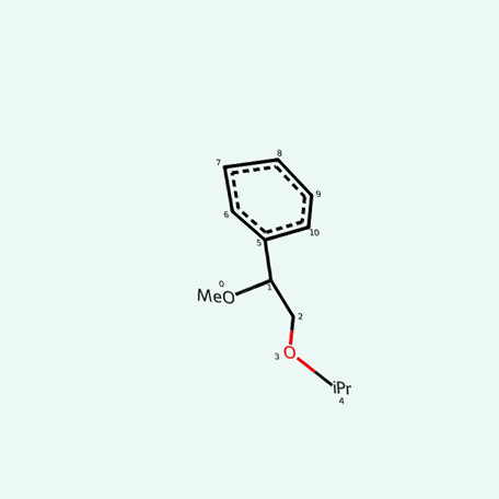 COC(COC(C)C)c1ccccc1